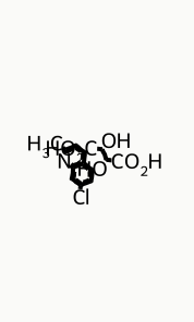 Cc1ccc2ccc(Cl)cc2n1.O=C(O)C(O)C(O)C(=O)O